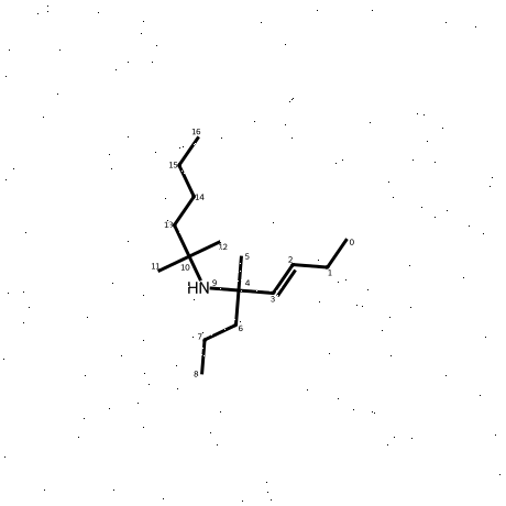 CCC=CC(C)(CCC)NC(C)(C)CCCC